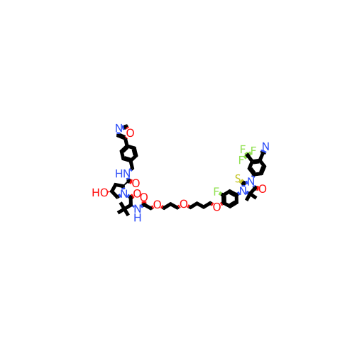 CC(C)(C)[C@H](NC(=O)COCCCOCCCCOc1ccc(N2C(=S)N(c3ccc(C#N)c(C(F)(F)F)c3)C(=O)C2(C)C)cc1F)C(=O)N1C[C@H](O)C[C@H]1C(=O)NCc1ccc(-c2cnco2)cc1